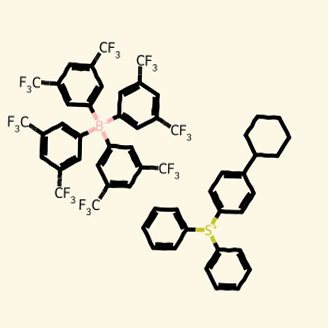 FC(F)(F)c1cc([B-](c2cc(C(F)(F)F)cc(C(F)(F)F)c2)(c2cc(C(F)(F)F)cc(C(F)(F)F)c2)c2cc(C(F)(F)F)cc(C(F)(F)F)c2)cc(C(F)(F)F)c1.c1ccc([S+](c2ccccc2)c2ccc(C3CCCCC3)cc2)cc1